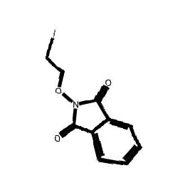 O=C1c2ccccc2C(=O)N1OCCI